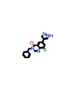 O=c1c2cc(-c3cn[nH]c3)cc(F)c2ncn1Cc1ccccc1